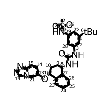 CC(C)(C)c1cc(NC(=O)N[C@H]2CC[C@@H](Oc3ccc4nncn4c3)c3ccccc32)cc(NS(C)(=O)=O)c1